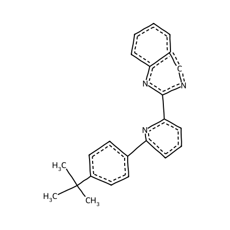 CC(C)(C)c1ccc(-c2cccc(-c3ncc4ccccc4n3)n2)cc1